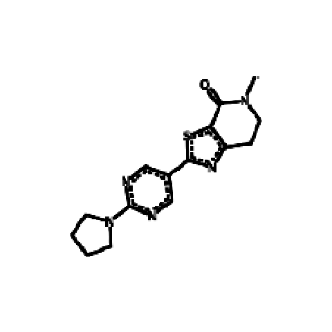 [CH2]N1CCc2nc(-c3cnc(N4CCCC4)nc3)sc2C1=O